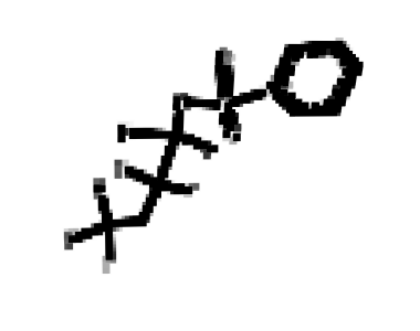 O=S(=O)(OC(F)(F)C(F)(F)CC(F)(F)F)[n+]1ccccc1